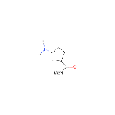 CNC(=O)C1CCC(N(C)C)C1